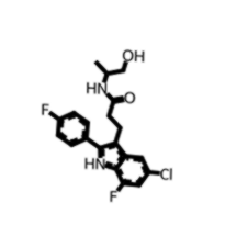 CC(CO)NC(=O)CCc1c(-c2ccc(F)cc2)[nH]c2c(F)cc(Cl)cc12